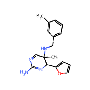 Cc1cccc(CNC2(C#N)C=NC(N)=NC2c2ccco2)c1